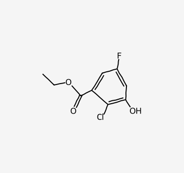 CCOC(=O)c1cc(F)cc(O)c1Cl